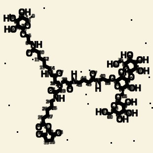 C[C@@H]1O[C@@H](OCCNC(=O)CCCCCNC(=O)CN(CC(=O)NCCCCCC(=O)ON2C(=O)CCC2=O)CC(=O)NCCCC(=O)NCCO[C@H]2O[C@H](CO[C@H]3O[C@H](CO)[C@@H](O)[C@H](O)[C@@H]3O)[C@@H](O)[C@H](O[C@H]3O[C@H](CO)[C@@H](O)[C@H](O)[C@@H]3O)[C@@H]2O)[C@@H](O)[C@H](O)[C@@H]1O